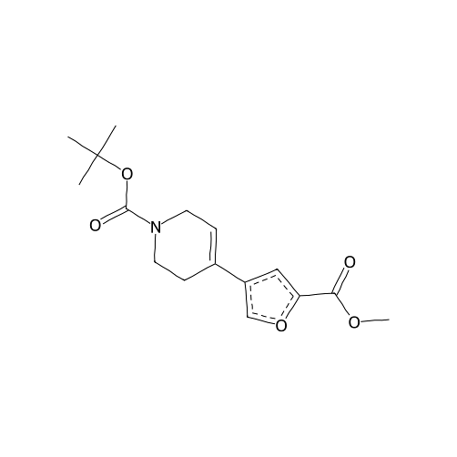 COC(=O)c1cc(C2=CCN(C(=O)OC(C)(C)C)CC2)co1